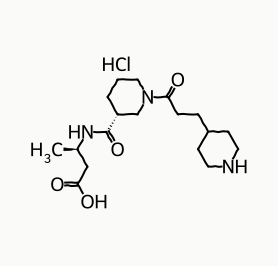 C[C@H](CC(=O)O)NC(=O)[C@@H]1CCCN(C(=O)CCC2CCNCC2)C1.Cl